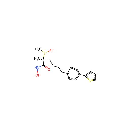 C[S+]([O-])C(C)(CCCCc1ccc(-c2cccs2)cc1)C(=O)NO